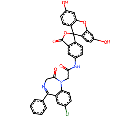 O=C(CN1C(=O)CN=C(c2ccccc2)c2cc(Cl)ccc21)Nc1ccc2c(c1)C(=O)OC21c2ccc(O)cc2Oc2cc(O)ccc21